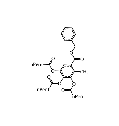 CCCCCC(=O)Oc1cc(C(=O)OCc2ccccc2)c(C)c(OC(=O)CCCCC)c1OC(=O)CCCCC